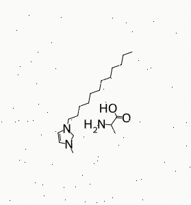 CC(N)C(=O)O.CCCCCCCCCCCCN1C=CN(C)C1